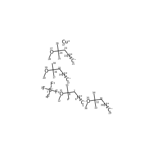 F[B-](F)(F)F.[C-]#[N+]CC(C)(C)OC.[C-]#[N+]CC(C)(C)OC.[C-]#[N+]CC(C)(C)OC.[C-]#[N+]CC(C)(C)OC.[Cu+]